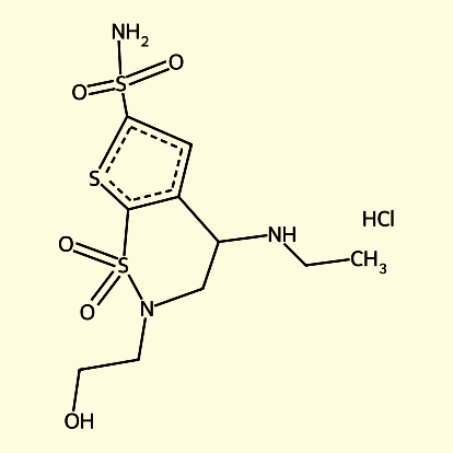 CCNC1CN(CCO)S(=O)(=O)c2sc(S(N)(=O)=O)cc21.Cl